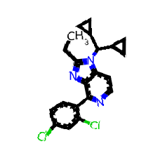 CCc1nc2c(-c3ccc(Cl)cc3Cl)nccc2n1C(C1CC1)C1CC1